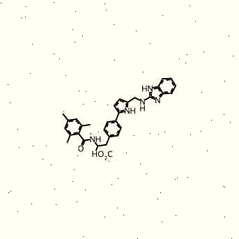 Cc1cc(C)c(C(=O)NC(Cc2ccc(-c3ccc(CNc4nc5ccccc5[nH]4)[nH]3)cc2)C(=O)O)c(C)c1